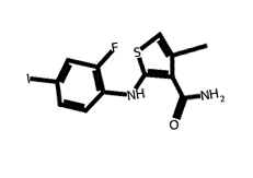 Cc1csc(Nc2ccc(I)cc2F)c1C(N)=O